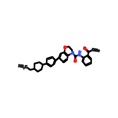 COC(=O)c1ccccc1NC(=O)N1CCOc2cc(-c3ccc(C4CCC(CC(=O)O)CC4)cc3)ccc21